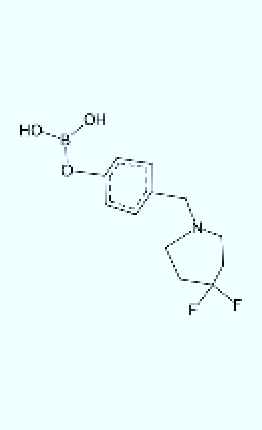 OB(O)Oc1ccc(CN2CCC(F)(F)CC2)cc1